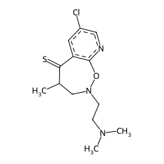 CC1CN(CCN(C)C)Oc2ncc(Cl)cc2C1=S